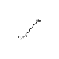 CC(C)(C)CCCCCCO[N+](=O)[O-]